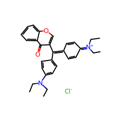 CCN(CC)c1ccc(C(=C2C=CC(=[N+](CC)CC)C=C2)c2coc3ccccc3c2=O)cc1.[Cl-]